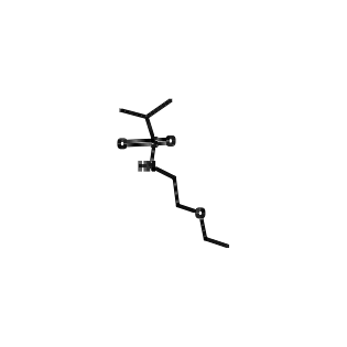 CCOCCNS(=O)(=O)C(C)C